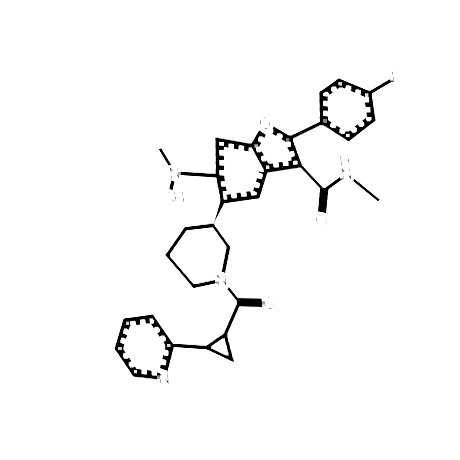 CNC(=O)c1c(-c2ccc(F)cc2)oc2cc(N(C)S)c([C@@H]3CCCN(C(=O)C4CC4c4ccccn4)C3)cc12